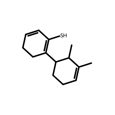 CC1=CCCC(C2=C(S)C=CCC2)C1C